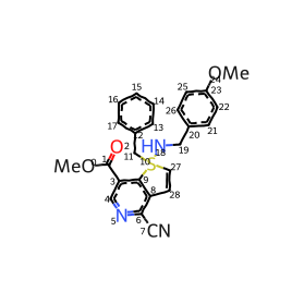 COC(=O)c1cnc(C#N)c2c1S(Cc1ccccc1)(NCc1ccc(OC)cc1)C=C2